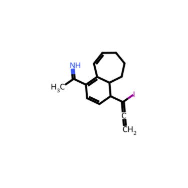 C=C=C(I)C1C=CC(C(C)=N)=C2C=CCCCC21